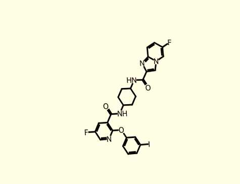 O=C(NC1CCC(NC(=O)c2cc(F)cnc2Oc2cccc(I)c2)CC1)c1cn2cc(F)ccc2n1